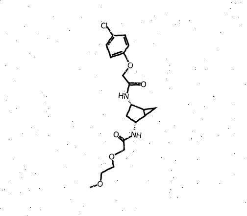 COCCOCC(=O)N[C@@H]1C[C@H](NC(=O)COc2ccc(Cl)cc2)C2CC21